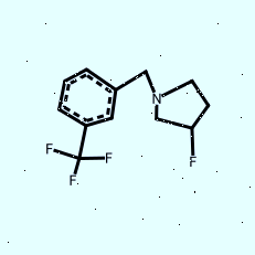 FC1CCN(Cc2cccc(C(F)(F)F)c2)C1